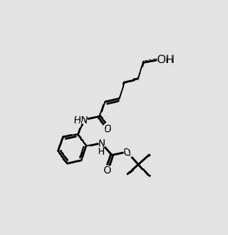 CC(C)(C)OC(=O)Nc1ccccc1NC(=O)C=CCCCO